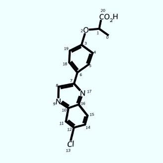 CC(Oc1ccc(-c2cnc3cc(Cl)ccc3n2)cc1)C(=O)O